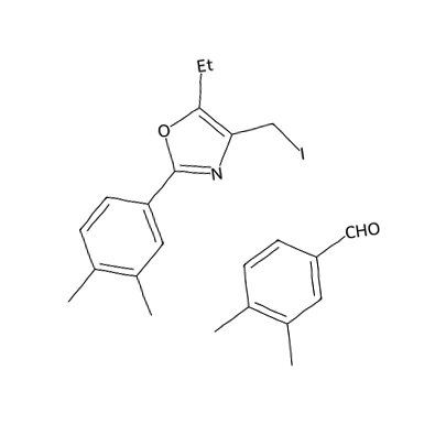 CCc1oc(-c2ccc(C)c(C)c2)nc1CI.Cc1ccc(C=O)cc1C